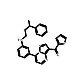 CC(CCNc1cccc(-c2ccnc3c(C(=O)c4cccs4)cnn23)c1)c1ccccc1